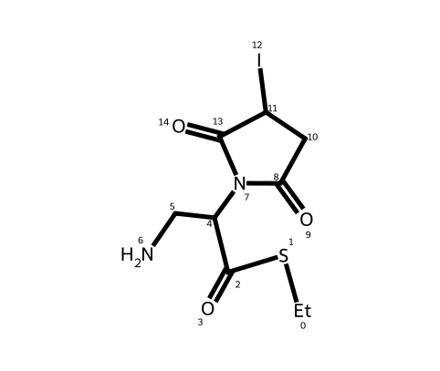 CCSC(=O)C(CN)N1C(=O)CC(I)C1=O